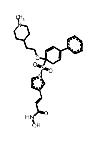 CN1CCC(CCOC2(S(=O)(=O)n3ccc(C=CC(=O)NO)c3)C=CC(c3ccccc3)=CC2)CC1